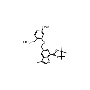 CCOC(=O)Cc1ccc(OC)cc1OCc1cc(B2OC(C)(C)C(C)(C)O2)c2occ(C)c2c1